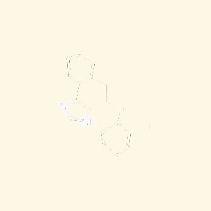 Clc1ccccc1OCCc1ccccc1-c1c[nH]cn1